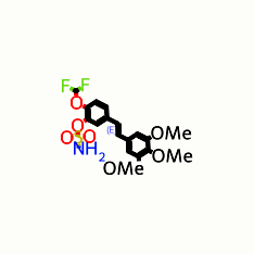 COc1cc(/C=C/c2ccc(OC(F)F)c(OS(N)(=O)=O)c2)cc(OC)c1OC